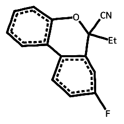 CCC1(C#N)Oc2ccccc2-c2ccc(F)cc21